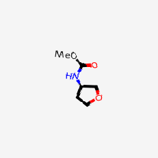 COC(=O)N[C@@H]1CCOC1